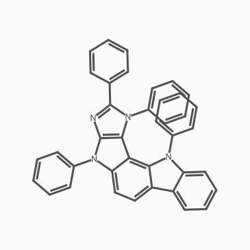 c1ccc(-c2nc3c(c4c(ccc5c6ccccc6n(-c6ccccc6)c54)n3-c3ccccc3)n2-c2ccccc2)cc1